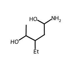 CCC(CC(N)O)C(C)O